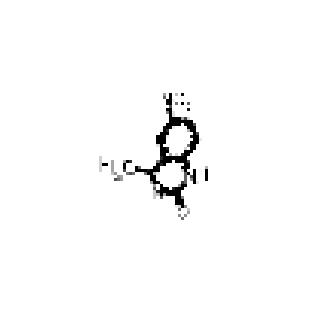 Cc1nc(=O)[nH]c2ccc([N+](=O)[O-])cc12